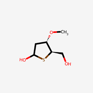 CO[C@H]1CC(O)S[C@@H]1CO